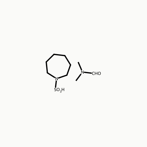 CN(C)C=O.O=S(=O)(O)N1CCCCCC1